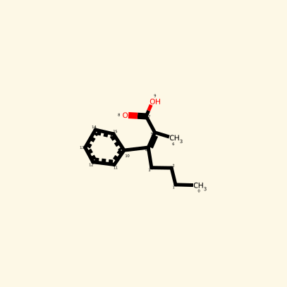 CCCCC(=C(C)C(=O)O)c1ccccc1